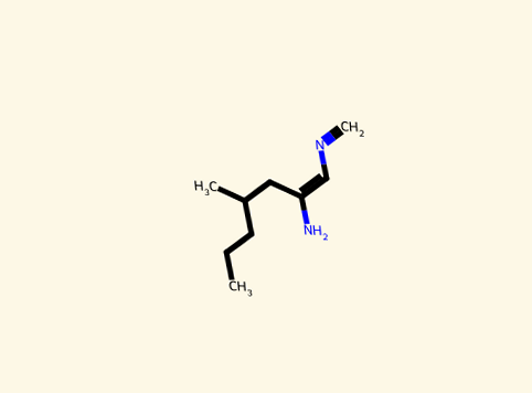 C=N/C=C(/N)CC(C)CCC